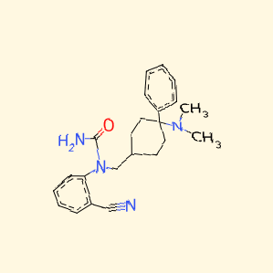 CN(C)C1(c2ccccc2)CCC(CN(C(N)=O)c2ccccc2C#N)CC1